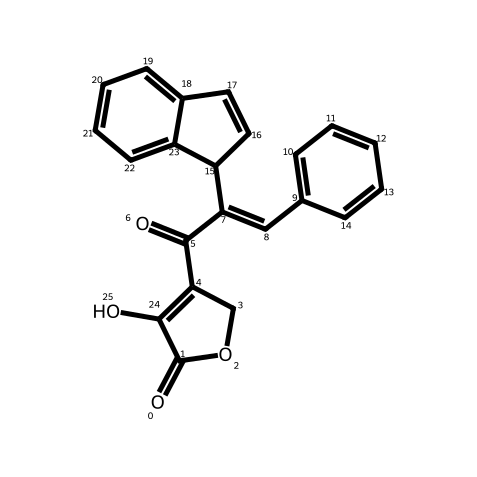 O=C1OCC(C(=O)C(=Cc2ccccc2)C2C=Cc3ccccc32)=C1O